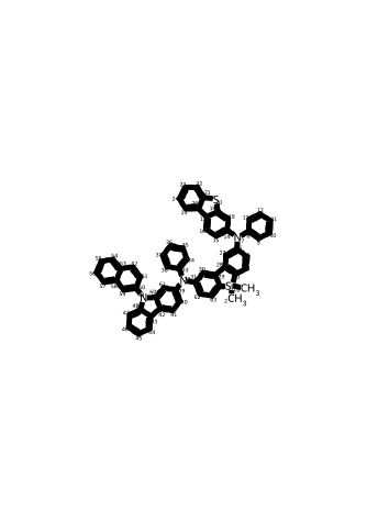 C[Si]1(C)c2ccc(N(c3ccccc3)c3ccc4c(c3)sc3ccccc34)cc2-c2cc(N(c3ccccc3)c3ccc4c5ccccc5n(-c5ccc6ccccc6c5)c4c3)ccc21